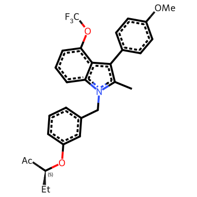 CC[C@H](Oc1cccc(Cn2c(C)c(-c3ccc(OC)cc3)c3c(OC(F)(F)F)cccc32)c1)C(C)=O